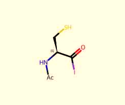 CC(=O)N[C@@H](CS)C(=O)I